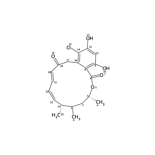 CC1C[C@@H](C)OC(=O)c2c(O)cc(O)c(Cl)c2CC(=O)/C=C/C=C\[C@H]1C